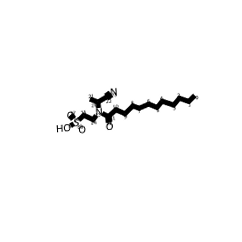 CCCCCCCCCCCC(=O)N(CCS(=O)(=O)O)C(C)C#N